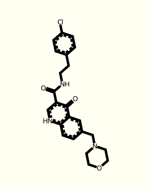 O=C(NCCc1ccc(Cl)cc1)c1c[nH]c2ccc(CN3CCOCC3)cc2c1=O